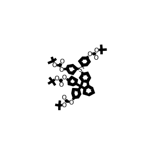 CC(C)(C)OC(=O)Oc1ccc([S+](c2ccc(OC(=O)OC(C)(C)C)cc2)c2ccc3c(c2)C(c2ccc(OC(=O)OC(C)(C)C)cc2)(c2ccc(OC(=O)OC(C)(C)C)cc2)c2ccccc2-3)cc1